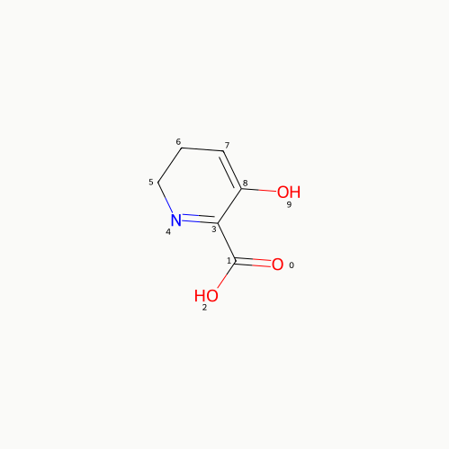 O=C(O)C1=NCCC=C1O